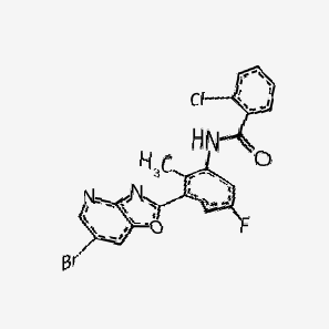 Cc1c(NC(=O)c2ccccc2Cl)cc(F)cc1-c1nc2ncc(Br)cc2o1